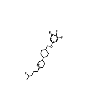 CC(F)CCC[SiH]1CCC(C2CCC(COc3cc(F)c(F)c(F)c3)CC2)CC1